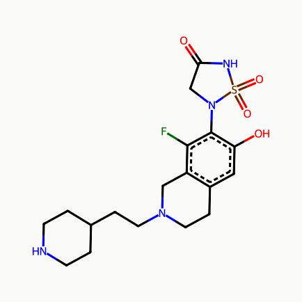 O=C1CN(c2c(O)cc3c(c2F)CN(CCC2CCNCC2)CC3)S(=O)(=O)N1